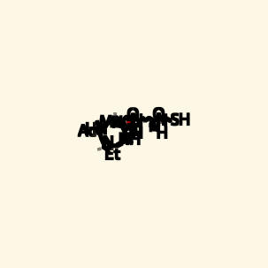 CC[C@@H]1c2cc3[nH]c4c(c3C)C(=O)C(C(=O)OC)c4c3nc(cc4[nH]c(cc(n2)[C@H]1C)c(C(C)=O)c4C)[C@H](C)[C@H]3CCC(=O)NCCCC(C(=O)NCCS)[N+](C)(C)C